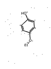 C[CH]Oc1ccc(O)cc1